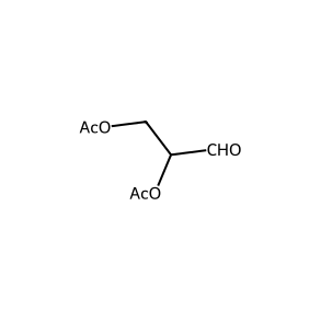 CC(=O)OCC(C=O)OC(C)=O